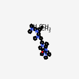 CC(C)(C)c1cc2c3cc4c5ccccc5n(-c5ccccc5)c4cc3n3c4cc5c(cc4c(c1)c23)c1ccc(-c2ccc(N(c3ccccc3)c3c4ccccc4cc4c3c3cccc6c7c(N(c8ccccc8)c8ccccc8)c8ccccc8cc7n4c63)cc2)cc1n5-c1ccccc1